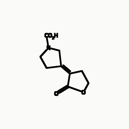 O=C1OCC/C1=C1/CCN(C(=O)O)C1